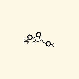 O=C1CN(CCc2ccc(Cl)cc2)c2ccccc2N1c1cccc(C(F)(F)F)c1